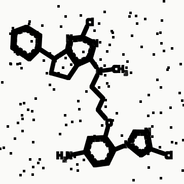 CN(CCCOc1cc(N)ccc1-n1cnc(Cl)c1)c1nc(Cl)nc2c1CCC2c1ccccc1